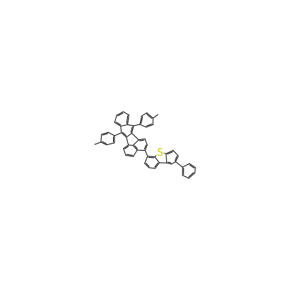 Cc1ccc(-c2c3c(c(-c4ccc(C)cc4)c4ccccc24)-c2ccc(-c4cccc5c4sc4ccc(-c6ccccc6)cc45)c4cccc-3c24)cc1